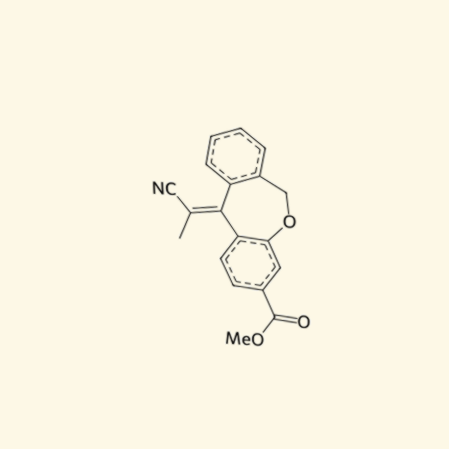 COC(=O)c1ccc2c(c1)OCc1ccccc1C2=C(C)C#N